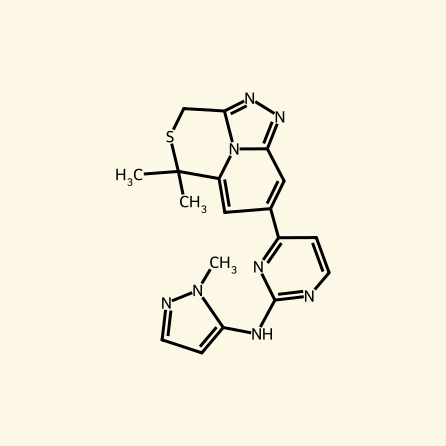 Cn1nccc1Nc1nccc(-c2cc3n4c(nnc4c2)CSC3(C)C)n1